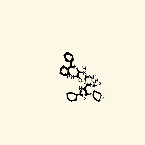 CNC(NC1N=C(c2ccccc2)c2ccccc2NC1=O)OC(=N)c1nc(C2CCCCC2)sc1N1CCOCC1